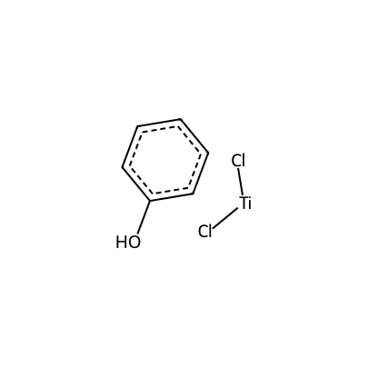 Oc1ccccc1.[Cl][Ti][Cl]